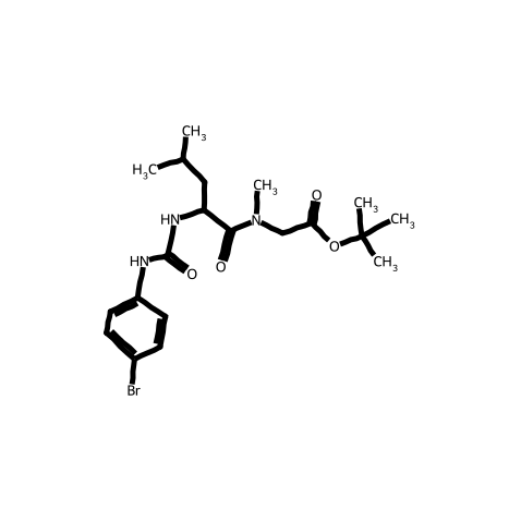 CC(C)CC(NC(=O)Nc1ccc(Br)cc1)C(=O)N(C)CC(=O)OC(C)(C)C